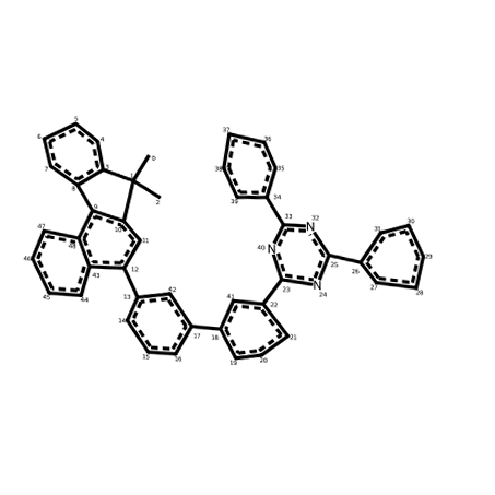 CC1(C)c2ccccc2-c2c1cc(-c1cccc(-c3cccc(-c4nc(-c5ccccc5)nc(-c5ccccc5)n4)c3)c1)c1ccccc21